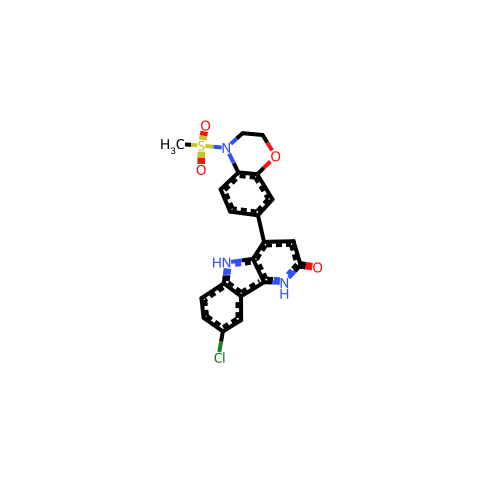 CS(=O)(=O)N1CCOc2cc(-c3cc(=O)[nH]c4c3[nH]c3ccc(Cl)cc34)ccc21